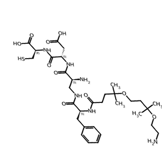 CC(C)(CCOC(C)(C)CCC(=O)N[C@@H](Cc1ccccc1)C(=O)NC[C@H](N)C(=O)N[C@@H](CC(=O)O)C(=O)N[C@@H](CS)C(=O)O)OCCN